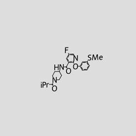 CSc1cccc(Oc2ncc(F)cc2C(=O)NC2CCN(C(=O)C(C)C)CC2)c1